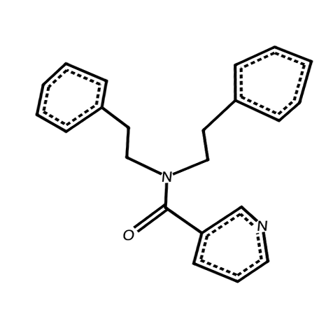 O=C(c1cccnc1)N(CCc1ccccc1)CCc1ccccc1